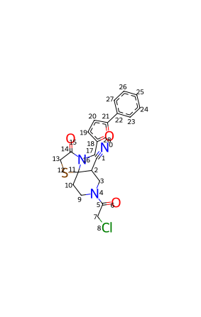 N#CC1CN(C(=O)CCl)CCC12SCC(=O)N2Cc1ccc(-c2ccccc2)o1